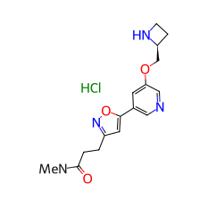 CNC(=O)CCc1cc(-c2cncc(OC[C@@H]3CCN3)c2)on1.Cl